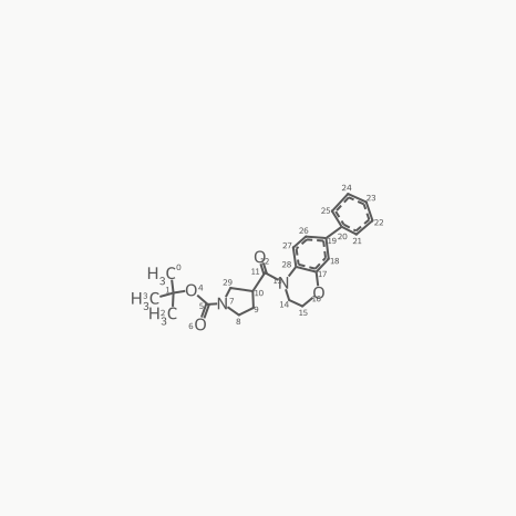 CC(C)(C)OC(=O)N1CCC(C(=O)N2CCOc3cc(-c4ccccc4)ccc32)C1